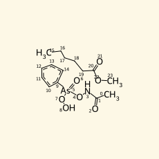 CC(=O)NO[As](=O)(OO)c1ccccc1.CCCCCC(=O)OC